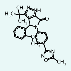 COc1ccccc1C1c2c(C(C)(C)C)n[nH]c2C(=O)N1c1ccc(-c2noc(C)n2)cc1